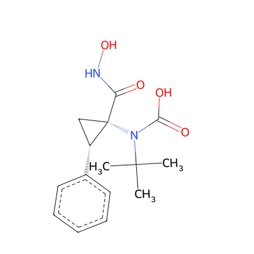 CC(C)(C)N(C(=O)O)[C@@]1(C(=O)NO)C[C@H]1c1ccccc1